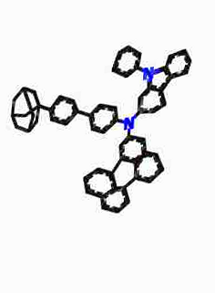 c1ccc(-c2cccc3cccc(-c4cccc(N(c5ccc(-c6ccc(C78CC9CC(CC(C9)C7)C8)cc6)cc5)c5ccc6c7ccccc7n(-c7ccccc7)c6c5)c4)c23)cc1